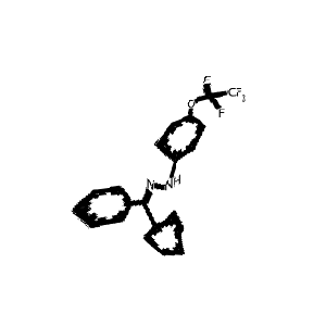 FC(F)(F)C(F)(F)Oc1ccc(NN=C(c2ccccc2)c2ccccc2)cc1